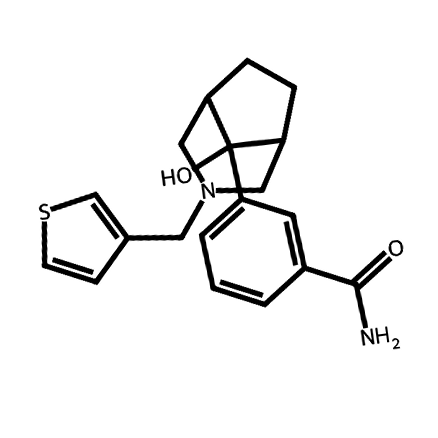 NC(=O)c1cccc(C2(O)C3CCC2CN(Cc2ccsc2)C3)c1